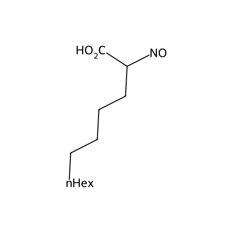 CCCCCCCCCCC(N=O)C(=O)O